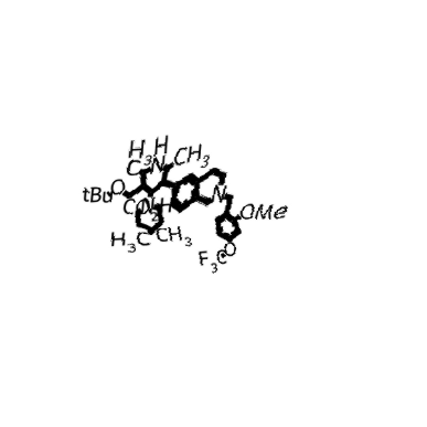 COc1cc(OC(F)(F)F)ccc1CN1CCc2cc(C3C(C)NC(C)C(C(OC(C)(C)C)C(=O)O)C3N3CCC(C)(C)CC3)ccc2C1